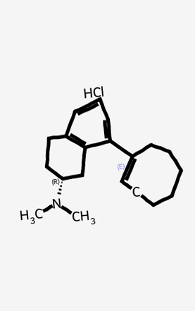 CN(C)[C@@H]1CCc2cccc(/C3=C/CCCCCC3)c2C1.Cl